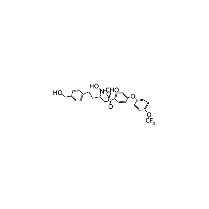 O=CN(O)C(CCc1ccc(CO)cc1)CS(=O)(=O)c1ccc(Oc2ccc(OC(F)(F)F)cc2)cc1